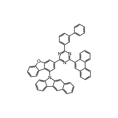 c1ccc(-c2cccc(-c3nc(-c4cc(-n5c6ccccc6c6cc7ccccc7cc65)c5c(c4)oc4ccccc45)nc(-c4cc5ccccc5c5ccccc45)n3)c2)cc1